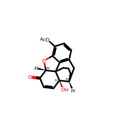 CC(=O)Oc1ccc2c3c1O[C@H]1C(=O)C=C[C@@]4(O)[C@H](CCCC314)C2